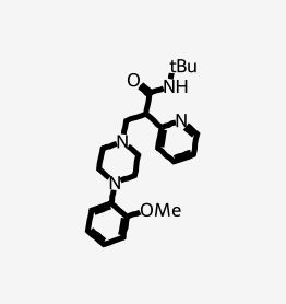 COc1ccccc1N1CCN(CC(C(=O)NC(C)(C)C)c2ccccn2)CC1